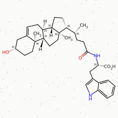 C[C@H](CCC(=O)N[C@@H](Cc1c[nH]c2ccccc12)C(=O)O)[C@H]1CC[C@H]2[C@@H]3CC=C4C[C@@H](O)CC[C@]4(C)[C@H]3CC[C@]12C